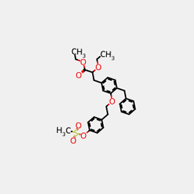 CCOC(=O)C(Cc1ccc(Cc2ccccc2)c(OCCc2ccc(OS(C)(=O)=O)cc2)c1)OCC